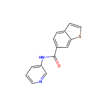 O=C(Nc1cccnc1)c1ccc2ccsc2c1